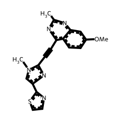 COc1ccc2c(C#Cc3nc(-c4nccs4)cn3C)nc(C)nc2c1